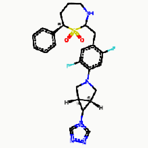 O=S1(=O)C(Cc2cc(F)c(N3C[C@@H]4C(n5cnnc5)[C@@H]4C3)cc2F)NCCC[C@@H]1c1ccccc1